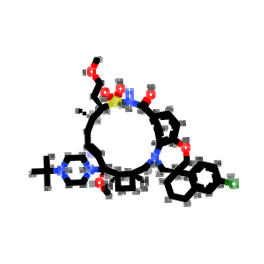 COCC[C@@H]1[C@@H](C)C/C=C/[C@](OC)(N2CCN(C(C)(C)C)CC2)[C@@H]2CC[C@H]2CN2C[C@@]3(CCCc4cc(Cl)ccc43)COc3ccc(cc32)C(=O)NS1(=O)=O